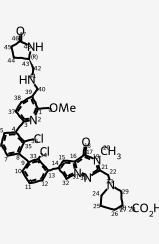 COc1nc(-c2cccc(-c3cccc(-c4cc5c(=O)n(C)c(CN6CCC[C@@H](C(=O)O)C6)nn5c4)c3Cl)c2Cl)ccc1CNC[C@H]1CCC(=O)N1